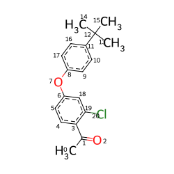 CC(=O)c1ccc(Oc2ccc(C(C)(C)C)cc2)cc1Cl